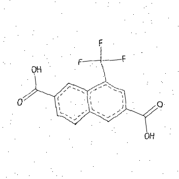 O=C(O)c1cc(C(F)(F)F)c2cc(C(=O)O)ccc2c1